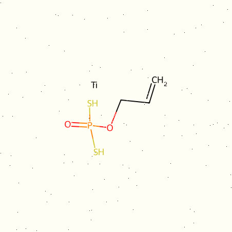 C=CCOP(=O)(S)S.[Ti]